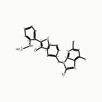 CCc1nc2c(C)cc(C)nc2n1Cc1ccc2oc(-c3ccccc3NC(=O)O)c(Cl)c2c1